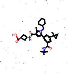 Cc1c(C(=O)N[C@H]2C[C@H](C(=O)O)C2)cc(-c2cc(C(=O)NC(C)(C)C)cc(C3(C)CC3)c2)n1CC1CCCCC1